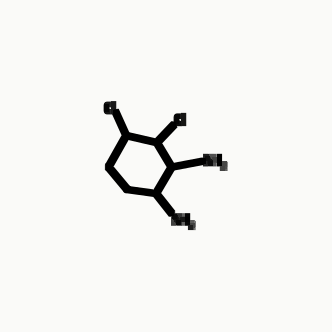 NC1CCC(Cl)C(Cl)C1N